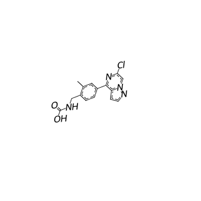 Cc1cc(-c2nc(Cl)cn3nccc23)ccc1CNC(=O)O